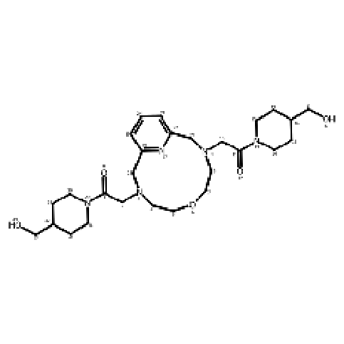 O=C(CN1CCOCCN(CC(=O)N2CCC(CO)CC2)Cc2cccc(n2)C1)N1CCC(CO)CC1